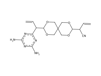 C=CC(C#N)C1OCC2(CO1)COC(C(C=C)c1nc(N)nc(N)n1)OC2